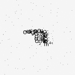 O=[N+]([O-])[O-].O=[N+]([O-])[O-].O=[N+]([O-])[O-].O=[N+]([O-])[O-].O=[N+]([O-])[O-].O=[N+]([O-])[O-].[O]=[U+2]=[O].[Th+4]